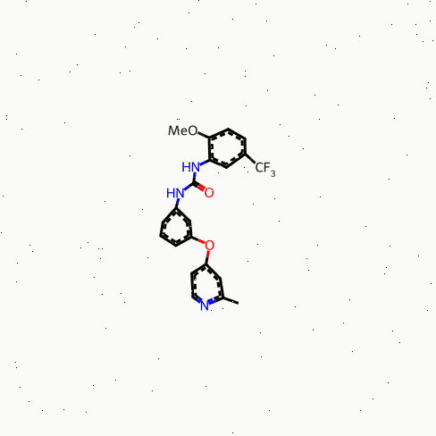 COc1ccc(C(F)(F)F)cc1NC(=O)Nc1cccc(Oc2ccnc(C)c2)c1